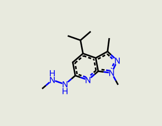 CNNc1cc(C(C)C)c2c(C)nn(C)c2n1